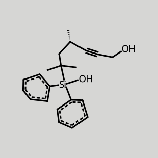 C[C@H](C#CCO)CC(C)(C)[Si](O)(c1ccccc1)c1ccccc1